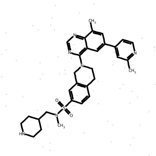 Cc1cc(-c2cc(C)c3ncnc(N4CCc5ccc(S(=O)(=O)N(C)CC6CCNCC6)cc5C4)c3c2)ccn1